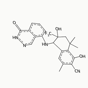 Cc1cc2c(c(O)c1C#N)C(C)(C)CC(O)(C(F)(F)F)C2Nc1cccc2c(=O)[nH]ncc12